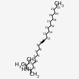 C=C(CCCCCCCCC#CCCCCCCCCCCCC)NC(C)CC